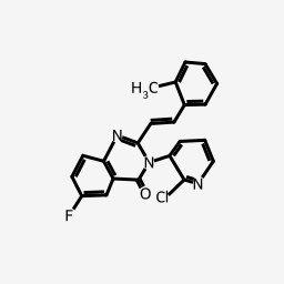 Cc1ccccc1C=Cc1nc2ccc(F)cc2c(=O)n1-c1cccnc1Cl